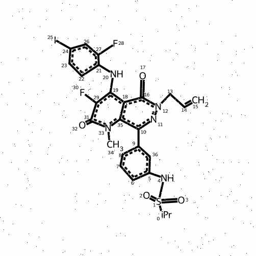 [CH2]C(C)S(=O)(=O)Nc1cccc(-c2nn(CC=C)c(=O)c3c(Nc4ccc(I)cc4F)c(F)c(=O)n(C)c23)c1